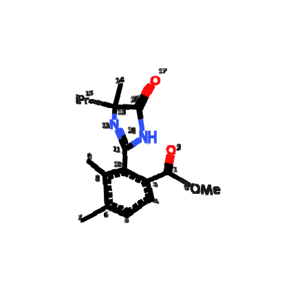 COC(=O)c1ccc(C)c(C)c1C1=NC(C)(C(C)C)C(=O)N1